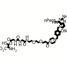 CCCCCNc1nc(N)nc2ccn(Cc3ccc(CN4CCN(C(=O)CCOCCOCCNC(=O)CNC(=O)NCC(=O)OC(S)[C@H](N)C(=O)O)CC4)cc3OC)c12